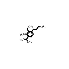 CCCCc1ncc(C(C)C)c(C)c1CC